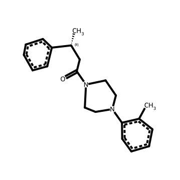 Cc1ccccc1N1CCN(C(=O)C[C@@H](C)c2ccccc2)CC1